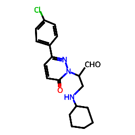 O=CC(CNC1CCCCC1)n1nc(-c2ccc(Cl)cc2)ccc1=O